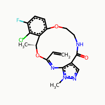 C=C/C1=N\c2c(cnn2C)C(=O)NCCOc2ccc(F)c(Cl)c2[C@@H](C)O1